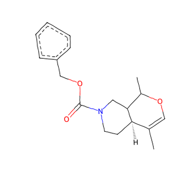 CC1=COC(C)C2CN(C(=O)OCc3ccccc3)CC[C@H]12